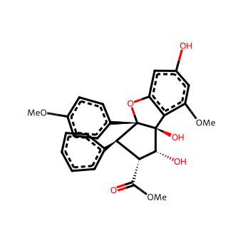 COC(=O)[C@H]1[C@@H](O)[C@@]2(O)c3c(OC)cc(O)cc3O[C@@]2(c2ccc(OC)cc2)[C@@H]1c1ccccc1